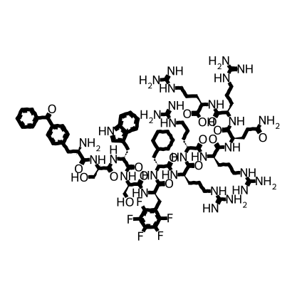 N=C(N)NCCC[C@@H](NC(=O)[C@@H](CCCNC(=N)N)NC(=O)[C@@H](CCC(N)=O)NC(=O)[C@@H](CCCNC(=N)N)NC(=O)[C@@H](CCCNC(=N)N)NC(=O)[C@@H](CCCNC(=N)N)NC(=O)[C@@H](CC1CCCCC1)NC(=O)[C@@H](Cc1c(F)c(F)c(F)c(F)c1F)NC(=O)[C@@H](CO)NC(=O)[C@@H](Cc1c[nH]c2ccccc12)NC(=O)[C@@H](CO)NC(=O)[C@H](N)Cc1ccc(C(=O)c2ccccc2)cc1)C(=O)O